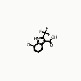 O=C(O)c1c(C(F)(F)F)[nH]c2c(Cl)cccc12